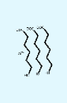 O=C([O-])CCCCCO.O=C([O-])CCCCCO.O=C([O-])CCCCCO.[Al+3]